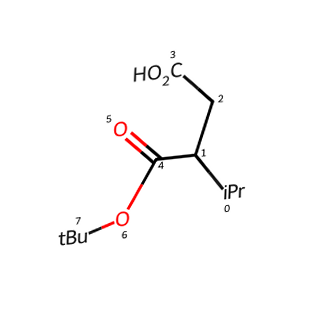 CC(C)C(CC(=O)O)C(=O)OC(C)(C)C